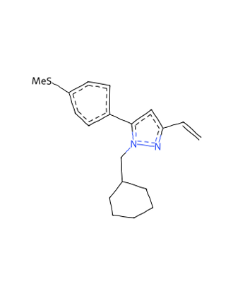 C=Cc1cc(-c2ccc(SC)cc2)n(CC2CCCCC2)n1